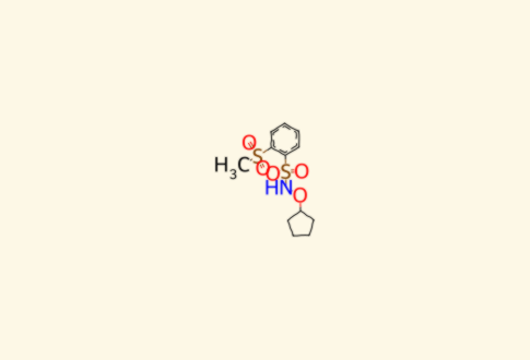 CS(=O)(=O)c1ccccc1S(=O)(=O)NOC1CCCC1